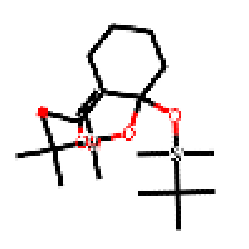 CC(O)=C1CCCCC1(O[Si](C)(C)C(C)(C)C)O[Si](C)(C)C(C)(C)C